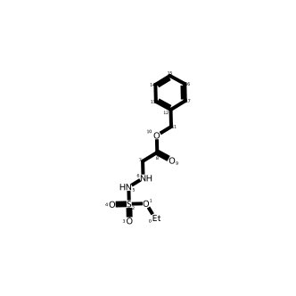 CCOS(=O)(=O)NNCC(=O)OCc1ccccc1